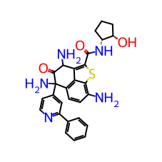 Nc1ccc2c3c(c(C(=O)N[C@@H]4CCC[C@H]4O)sc13)C(N)C(=O)C2(N)c1ccnc(-c2ccccc2)c1